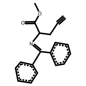 C#CCC(N=C(c1ccccc1)c1ccccc1)C(=O)OC